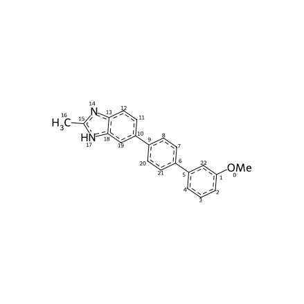 COc1cccc(-c2ccc(-c3ccc4nc(C)[nH]c4c3)cc2)c1